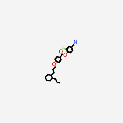 CCCC1CCCCC1CCCOc1ccc(C(=O)Oc2ccc(C#N)cc2F)cc1